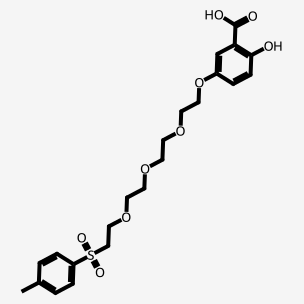 Cc1ccc(S(=O)(=O)CCOCCOCCOCCOc2ccc(O)c(C(=O)O)c2)cc1